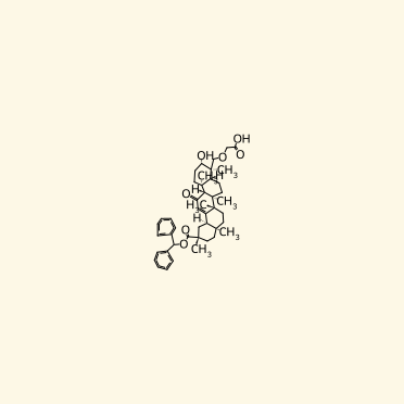 C[C@]1(C(=O)OC(c2ccccc2)c2ccccc2)CC[C@]2(C)CC[C@]3(C)C(=CC(=O)[C@@H]4[C@@]5(C)CC[C@H](O)[C@@](C)(COCC(=O)O)[C@@H]5CC[C@]43C)[C@@H]2C1